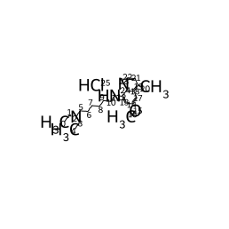 CCN(CC)CCCCCCNc1cc(OC)cc2c(C)ccnc12.Cl